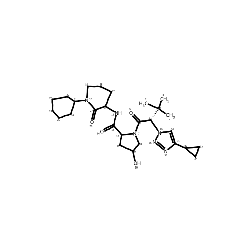 CC(C)(C)[C@@H](C(=O)N1CC(O)CC1C(=O)NC1CCCN(C2CCCCC2)C1=O)n1cc(C2CC2)nn1